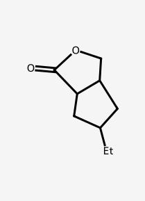 CCC1CC2COC(=O)C2C1